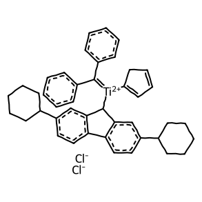 C1=CC[C]([Ti+2](=[C](c2ccccc2)c2ccccc2)[CH]2c3cc(C4CCCCC4)ccc3-c3ccc(C4CCCCC4)cc32)=C1.[Cl-].[Cl-]